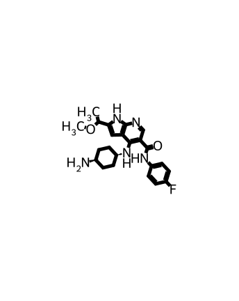 COC(C)c1cc2c(N[C@H]3CC[C@H](N)CC3)c(C(=O)Nc3ccc(F)cc3)cnc2[nH]1